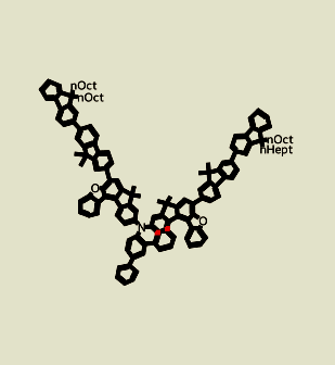 CCCCCCCCC1(CCCCCCC)c2ccccc2-c2ccc(-c3ccc4c(c3)C(C)(C)c3cc(-c5cc6c(c7c5oc5ccccc57)-c5ccc(N(c7ccc8c(c7)C(C)(C)c7cc(-c9ccc%10c(c9)C(C)(C)c9cc(-c%11ccc%12c(c%11)C(CCCCCCCC)(CCCCCCCC)c%11ccccc%11-%12)ccc9-%10)c9oc%10ccccc%10c9c7-8)c7ccc(-c8ccccc8)cc7-c7ccccc7)cc5C6(C)C)ccc3-4)cc21